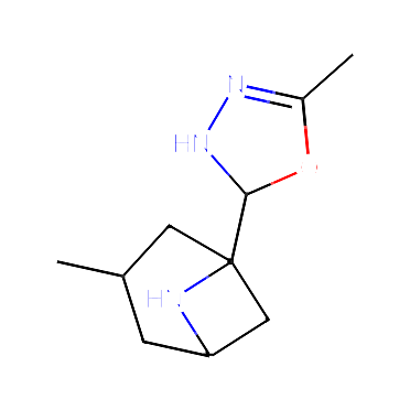 CC1=NNC(C23CC(C)CC(C2)N3)O1